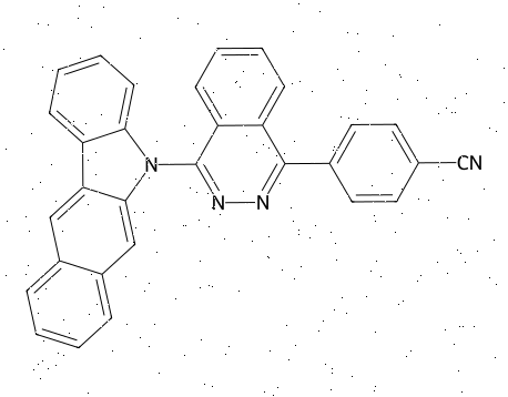 N#Cc1ccc(-c2nnc(-n3c4ccccc4c4cc5ccccc5cc43)c3ccccc23)cc1